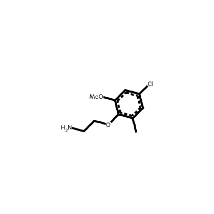 COc1cc(Cl)cc(C)c1OCCN